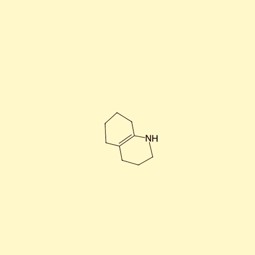 C1CCC2=C(C1)CCCN2